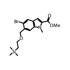 COC(=O)c1cc2cc(Br)c(COCC[Si](C)(C)C)cc2n1C